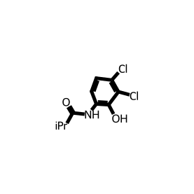 CC(C)C(=O)Nc1ccc(Cl)c(Cl)c1O